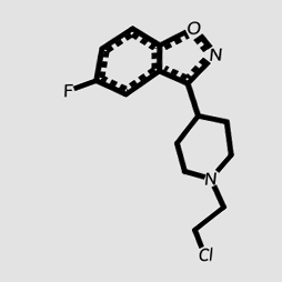 Fc1ccc2onc(C3CCN(CCCl)CC3)c2c1